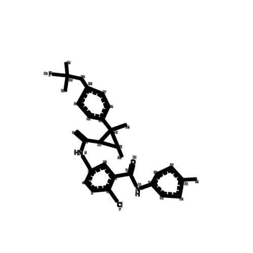 C=C(Nc1ccc(Cl)c(C(=O)Nc2ccc(C)cc2)c1)C1C(C)C1(C)c1ccc(CC(C)(C)F)cc1